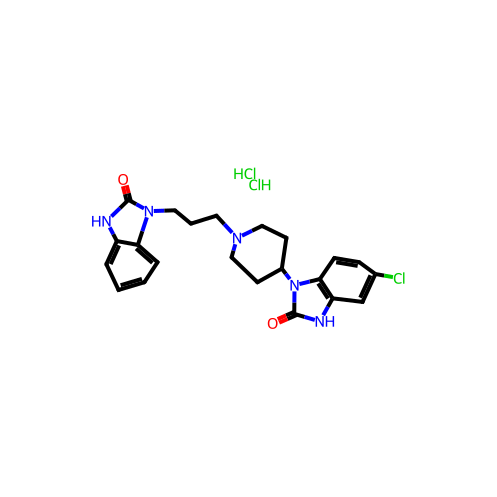 Cl.Cl.O=c1[nH]c2ccccc2n1CCCN1CCC(n2c(=O)[nH]c3cc(Cl)ccc32)CC1